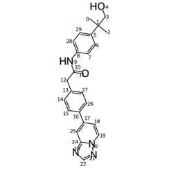 CC(C)(CO)c1ccc(NC(=O)Cc2ccc(-c3ccn4ncnc4c3)cc2)cc1